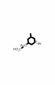 CC(=O)O.CC(=O)OC1CC(C)C[C@H](C(C)C)C1